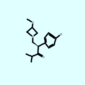 COC1CN(C[C@H](C(=O)C(C)C)c2ccc(Cl)cc2)C1